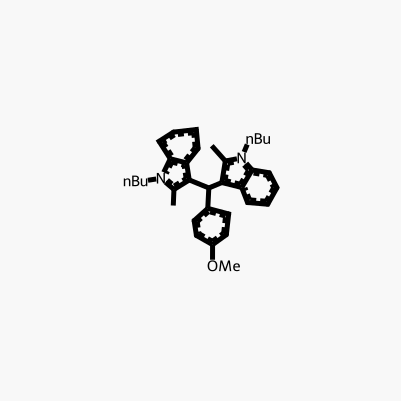 CCCCn1c(C)c(C(c2ccc(OC)cc2)c2c(C)n(CCCC)c3ccccc23)c2ccccc21